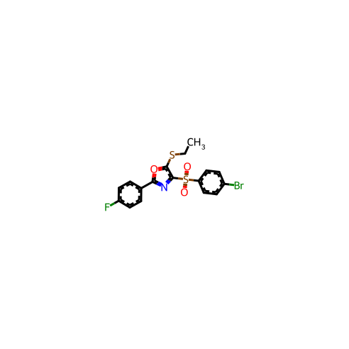 CCSc1oc(-c2ccc(F)cc2)nc1S(=O)(=O)c1ccc(Br)cc1